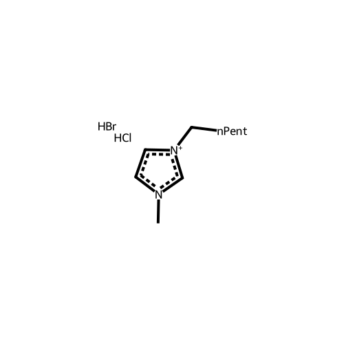 Br.CCCCCC[n+]1ccn(C)c1.Cl